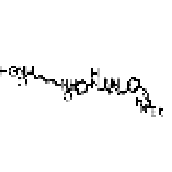 CCc1cn(Cc2cccc(Cn3cc(CNc4ccc(C(=O)NCCCCCCC(=O)NO)cc4)nn3)c2)nn1